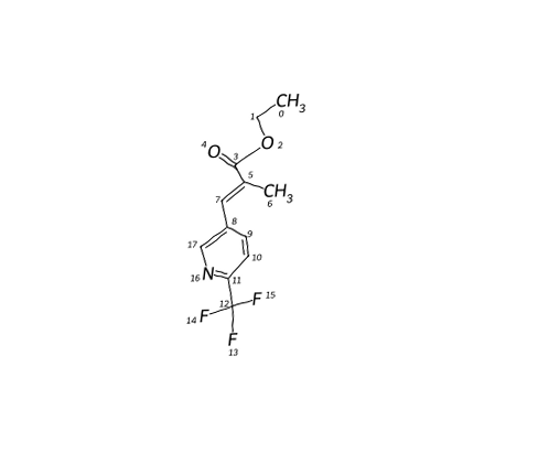 CCOC(=O)/C(C)=C/c1ccc(C(F)(F)F)nc1